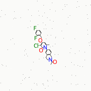 CC(=O)N1CCc2cc(-n3c(C)cc(OCc4ccc(F)cc4F)c(Cl)c3=O)ccc2C1